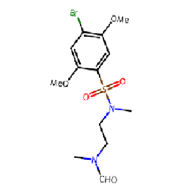 COc1cc(S(=O)(=O)N(C)CCN(C)C=O)c(OC)cc1Br